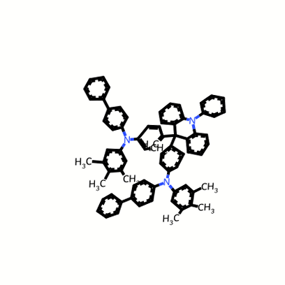 C=C(/C=C\C(=C/C)N(c1ccc(-c2ccccc2)cc1)c1cc(C)c(C)c(C)c1)C1(c2ccc(N(c3ccc(-c4ccccc4)cc3)c3cc(C)c(C)c(C)c3)cc2)c2ccccc2N(c2ccccc2)c2ccccc21